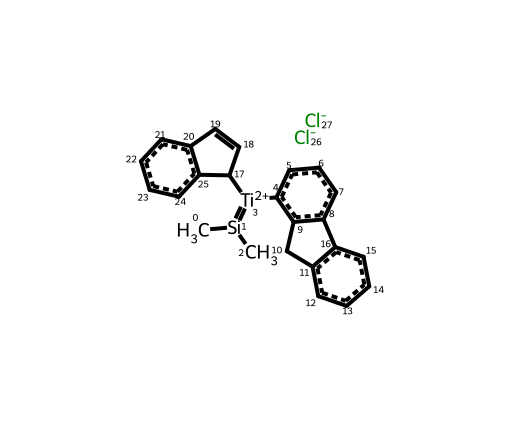 C[Si](C)=[Ti+2]([c]1cccc2c1Cc1ccccc1-2)[CH]1C=Cc2ccccc21.[Cl-].[Cl-]